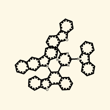 c1ccc2cc3c(cc2c1)c1ccccc1n3-c1c(-c2nc(-c3cccc4c3oc3ccccc34)nc(-n3c4ccccc4c4ccccc43)n2)c2ccccc2c2oc3ccccc3c12